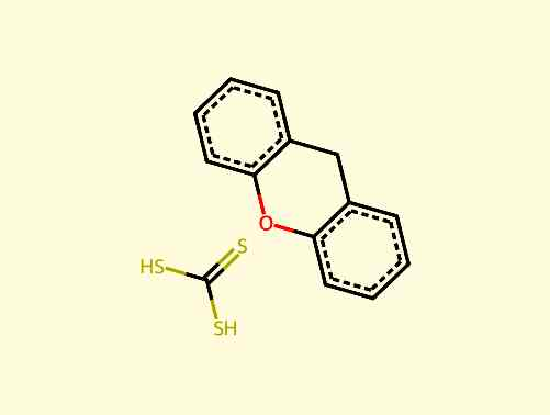 S=C(S)S.c1ccc2c(c1)Cc1ccccc1O2